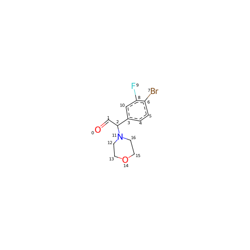 O=CC(c1ccc(Br)c(F)c1)N1CCOCC1